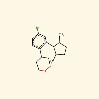 CC1CCC(C)C1c1cc(Br)ccc1C1CCOCC1